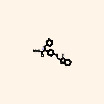 CNC(=O)/C(=C/c1cccnc1)c1ccc(OCc2nc3ccccc3[nH]2)cc1